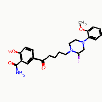 COc1ccccc1N1CCN(CCCCC(=O)c2ccc(O)c(C(N)=O)c2)C(I)C1